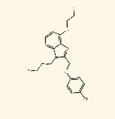 CCCCn1c(COc2ccc(Cl)cc2)nc2c(OCCC)cccc21